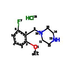 CCOc1cccc(F)c1CN1CCNCC1.Cl